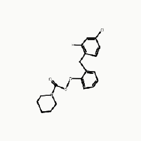 O=C(OOc1ccccc1Cc1ccc(Cl)cc1F)N1CCCCC1